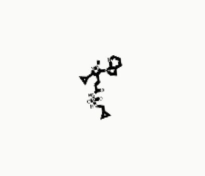 Cn1nc(C2CC2)c(/C=C/C(=O)NS(=O)(=O)NCC2CC2)c1-n1ccc2cccnc21